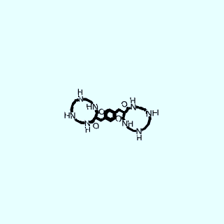 O=C1NCCNCCCNCCNC(=O)C1Cc1ccc(CC2C(=O)NCCNCCCNCCNC2=O)cc1